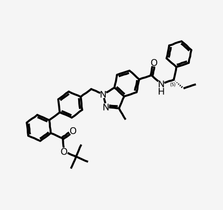 CC[C@H](NC(=O)c1ccc2c(c1)c(C)nn2Cc1ccc(-c2ccccc2C(=O)OC(C)(C)C)cc1)c1ccccc1